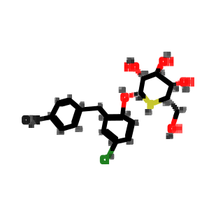 O=[N+]([O-])c1ccc(Cc2cc(Cl)ccc2O[C@H]2S[C@@H](CO)[C@@H](O)[C@H](O)[C@H]2O)cc1